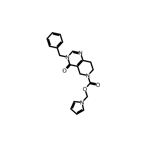 O=C(OCn1cccc1)N1CCc2ncn(Cc3ccccc3)c(=O)c2C1